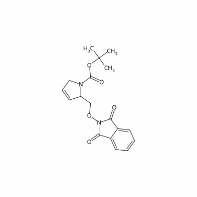 CC(C)(C)OC(=O)N1CC=CC1CON1C(=O)c2ccccc2C1=O